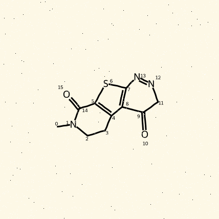 CN1CCc2c(sc3c2C(=O)CN=N3)C1=O